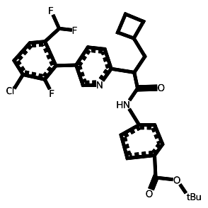 CC(C)(C)OC(=O)c1ccc(NC(=O)C(CC2CCC2)c2ccc(-c3c(C(F)F)ccc(Cl)c3F)cn2)cc1